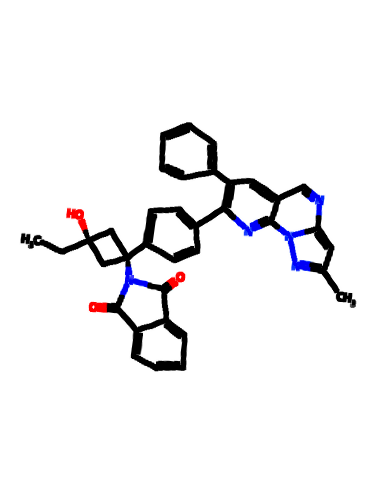 CC[C@]1(O)C[C@@](c2ccc(-c3nc4c(cnc5cc(C)nn54)cc3-c3ccccc3)cc2)(N2C(=O)c3ccccc3C2=O)C1